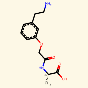 C[C@H](NC(=O)COc1cccc(CCN)c1)C(=O)O